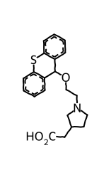 O=C(O)CC1CCN(CCOC2c3ccccc3Sc3ccccc32)C1